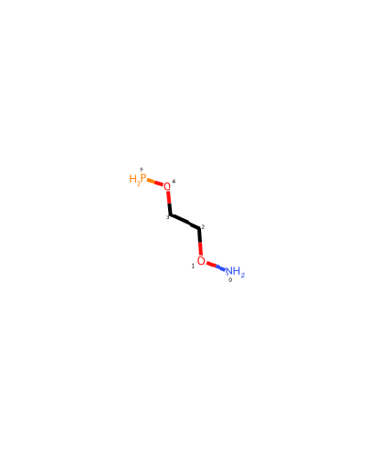 NOCCOP